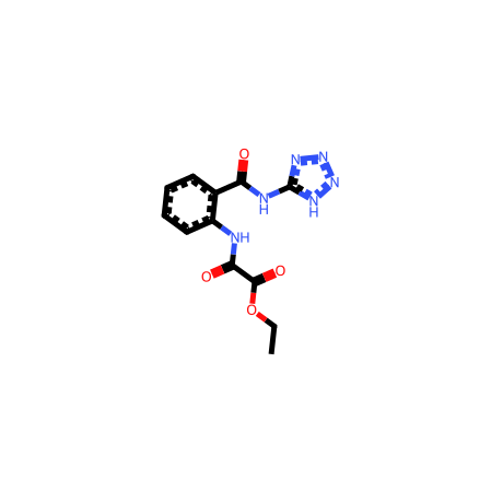 CCOC(=O)C(=O)Nc1ccccc1C(=O)Nc1nnn[nH]1